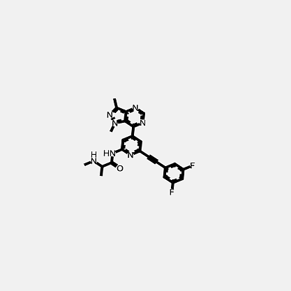 CNC(C)C(=O)Nc1cc(-c2ncnc3c(C)nn(C)c23)cc(C#Cc2cc(F)cc(F)c2)n1